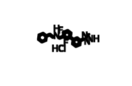 Cl.Fc1ccc(-c2cccc(-c3nc[nH]n3)c2)c(F)c1CNCCC1CCCCC1